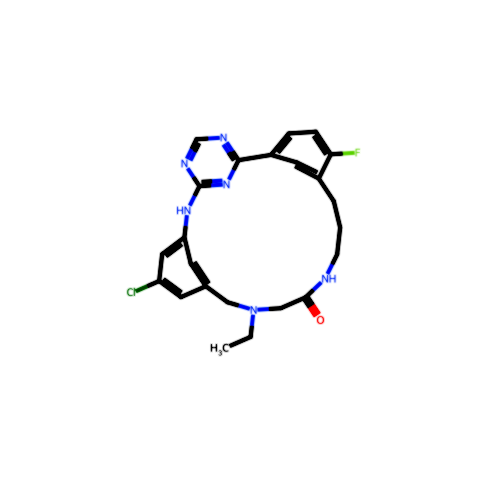 CCN1CC(=O)NCCCc2cc(ccc2F)-c2ncnc(n2)Nc2cc(Cl)cc(c2)C1